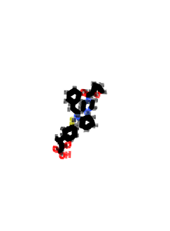 Cc1c(C(=O)O)oc2ccc(SN(CCc3ccccc3)c3ccccc3N3CCN(C(=O)c4ccco4)CC3)cc12